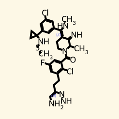 CN/C(=C1/CCN(C(=O)c2cc(F)cc(CC/C(=C/N)N=N)c2Cl)C(C)C1=N)c1cc(Cl)cc(C2(NSC)CC2)c1